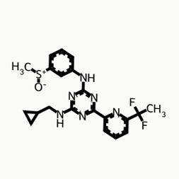 C[S+]([O-])c1cccc(Nc2nc(NCC3CC3)nc(-c3cccc(C(C)(F)F)n3)n2)c1